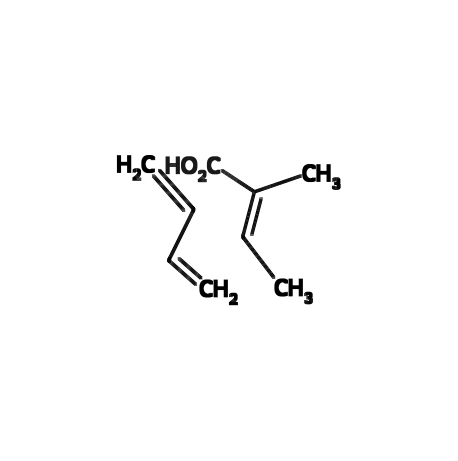 C/C=C(\C)C(=O)O.C=CC=C